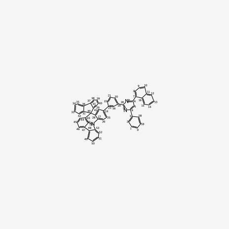 c1ccc(-c2cc(-c3cccc4ccccc34)nc(-c3cccc(-c4ccc5c(c4)C4(c6ccccc6-c6ccccc64)c4cccc6c7ccccc7n-5c46)c3)n2)cc1